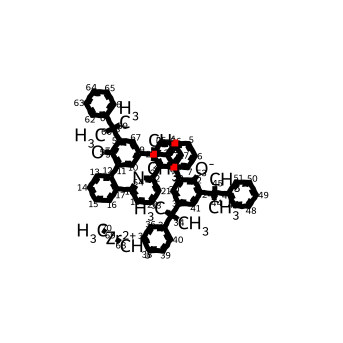 CC(C)(c1ccccc1)c1cc(-c2ccccc2-c2cccc(-c3ccccc3-c3cc(C(C)(C)c4ccccc4)cc(C(C)(C)c4ccccc4)c3[O-])n2)c([O-])c(C(C)(C)c2ccccc2)c1.[CH3][Zr+2][CH3]